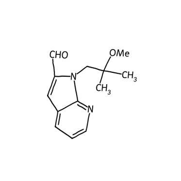 COC(C)(C)Cn1c(C=O)cc2cccnc21